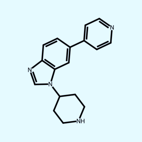 c1cc(-c2ccc3ncn(C4CCNCC4)c3c2)ccn1